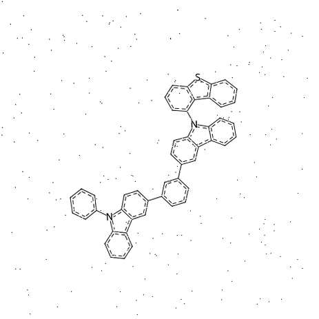 c1ccc(-n2c3ccccc3c3cc(-c4cccc(-c5ccc6c(c5)c5ccccc5n6-c5cccc6sc7ccccc7c56)c4)ccc32)cc1